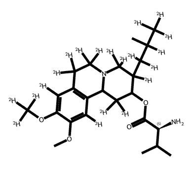 [2H]c1c(OC)c(OC([2H])([2H])[2H])c([2H])c2c1C1N(C([2H])([2H])C2([2H])[2H])C([2H])([2H])C([2H])(C([2H])([2H])C([2H])(C)C([2H])([2H])[2H])C(OC(=O)[C@@H](N)C(C)C)C1([2H])[2H]